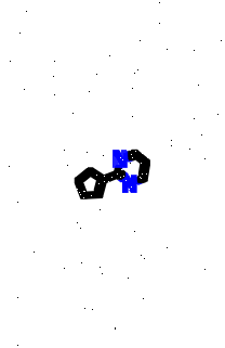 C1=C(c2ncccn2)CCC1